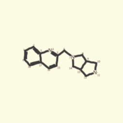 c1ccc2nc(CN3CC4C[N]CC4C3)ccc2c1